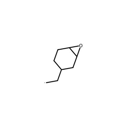 [CH2]CC1CCC2OC2C1